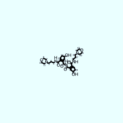 O=C(NCCCN1CCOCC1)C1C2CC(O)C(C2)C1C(=O)NC(=O)C1C2CC(CC2O)C1C(=O)NCCCN1CCOCC1